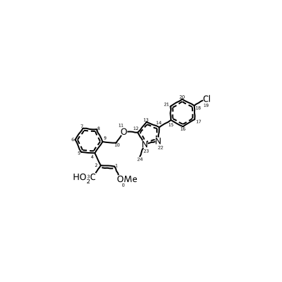 COC=C(C(=O)O)c1ccccc1COc1cc(-c2ccc(Cl)cc2)nn1C